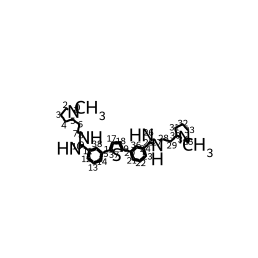 CN1CCCC1CCNC(=N)c1cccc(-c2ccc(-c3cccc(C(=N)NCCC4CCCN4C)c3)s2)c1